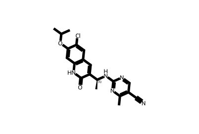 Cc1nc(N[C@@H](C)c2cc3cc(Cl)c(OC(C)C)cc3[nH]c2=O)ncc1C#N